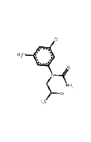 Cc1cc(Cl)cc(N(CC(C)O)C(N)=O)c1